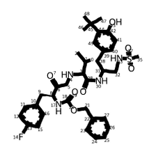 CC(C)C(NCC(=O)[C@H](Cc1ccc(F)cc1)NC(=O)OCc1ccccc1)C(=O)NC(CNS(C)(=O)=O)Cc1ccc(O)c(C(C)(C)C)c1